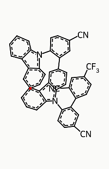 N#Cc1ccc(-n2c3ccccc3c3ccccc32)c(-c2ccc3c(c2)c2ccccc2n3-c2ccc(C#N)cc2-c2ccc(C(F)(F)F)cc2C#N)c1